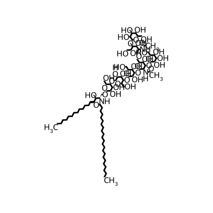 CCCCCCCCCCCCC/C=C/[C@@H](O)[C@H](CO[C@@H]1OC(CO)[C@@H](O[C@@H]2OC(CO)[C@H](O[C@@H]3OC(CO)[C@H](O)[C@H](O[C@@H]4OC(CO[C@@H]5OC(CO)[C@@H](O[C@@H]6OC(CO)[C@H](O)[C@H](O)C6O)[C@H](O)C5NC(C)=O)[C@H](O)[C@H](O[C@@H]5OC(CO)[C@H](O)[C@H](O)C5O)C4NC(C)=O)C3O)[C@H](O)C2O)[C@H](O)C1O)NC(=O)CCCCCCCCCCCCCCCCCCCCCCC